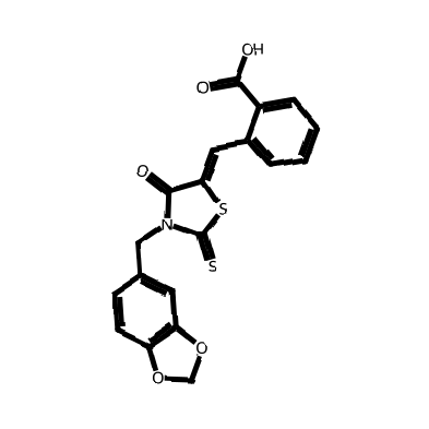 O=C(O)c1ccccc1/C=C1\SC(=S)N(Cc2ccc3c(c2)OCO3)C1=O